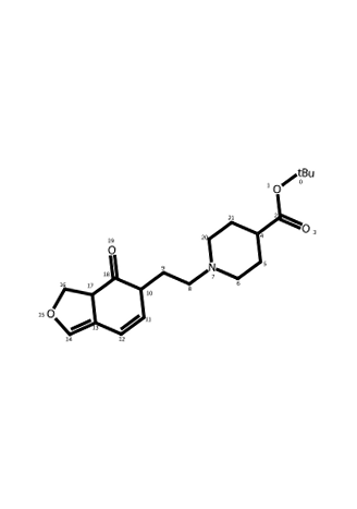 CC(C)(C)OC(=O)C1CCN(CCC2C=CC3=COCC3C2=O)CC1